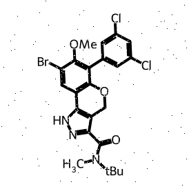 COc1c(Br)cc2c(c1-c1cc(Cl)cc(Cl)c1)OCc1c(C(=O)N(C)C(C)(C)C)n[nH]c1-2